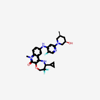 C[C@H]1C[C@@H](O)CN(c2cc(Nc3ccc4c(c3)c3c(c(=O)n4C)OCC(F)(F)C(C4CC4)N3)c(F)cn2)C1